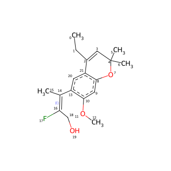 CCC1=CC(C)(C)Oc2cc(OC)c(/C(C)=C(/F)CO)cc21